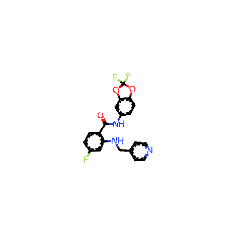 O=C(Nc1ccc2c(c1)OC(F)(F)O2)c1ccc(F)cc1NCc1ccncc1